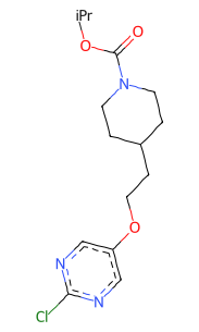 CC(C)OC(=O)N1CCC(CCOc2cnc(Cl)nc2)CC1